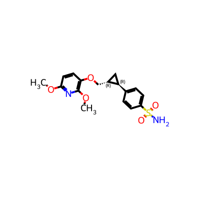 COc1ccc(OC[C@@H]2C[C@H]2c2ccc(S(N)(=O)=O)cc2)c(OC)n1